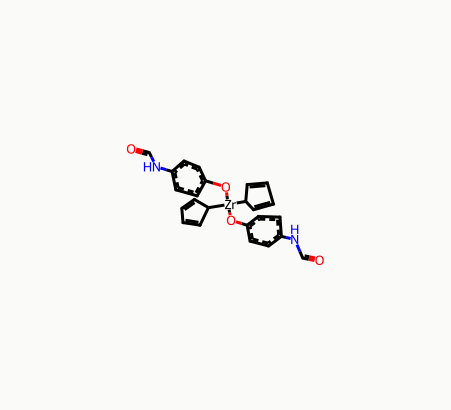 O=CNc1ccc([O][Zr]([O]c2ccc(NC=O)cc2)([CH]2C=CC=C2)[CH]2C=CC=C2)cc1